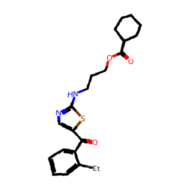 CCc1ccccc1C(=O)c1cnc(NCCCOC(=O)C2CCCCC2)s1